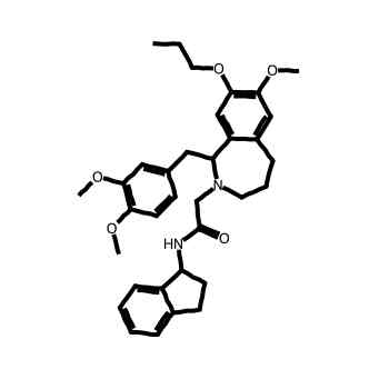 CCCOc1cc2c(cc1OC)CCCN(CC(=O)NC1CCc3ccccc31)C2Cc1ccc(OC)c(OC)c1